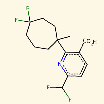 CC1(c2nc(C(F)F)ccc2C(=O)O)CCCC(F)(F)CC1